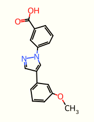 COc1cccc(-c2cnn(-c3cccc(C(=O)O)c3)c2)c1